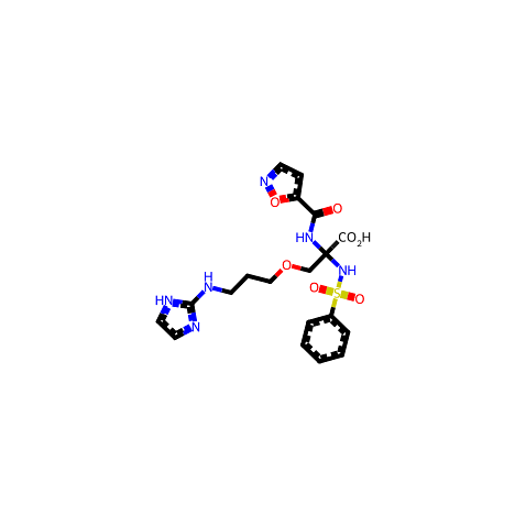 O=C(NC(COCCCNc1ncc[nH]1)(NS(=O)(=O)c1ccccc1)C(=O)O)c1ccno1